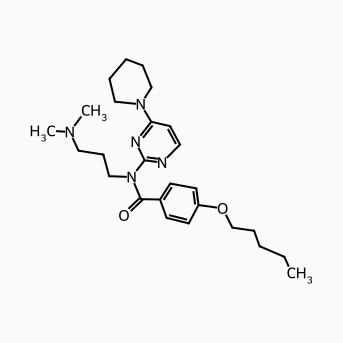 CCCCCOc1ccc(C(=O)N(CCCN(C)C)c2nccc(N3CCCCC3)n2)cc1